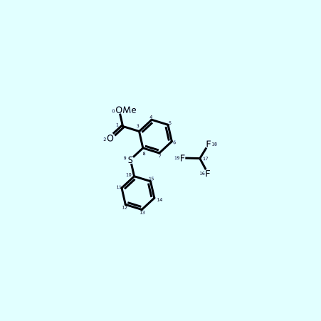 COC(=O)c1ccccc1Sc1ccccc1.FC(F)F